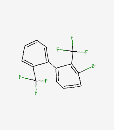 FC(F)(F)c1ccccc1-c1cccc(Br)c1C(F)(F)F